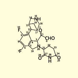 O=CC(=O)C1c2c(c(F)cc(F)c2C2C3CNCC2C3)CN1C1CCC(=O)NC1=O